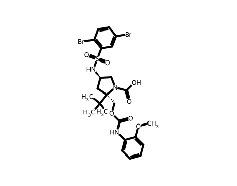 COc1ccccc1NC(=O)OC[C@]1(C(C)(C)C)C[C@@H](NS(=O)(=O)c2cc(Br)ccc2Br)CN1C(=O)O